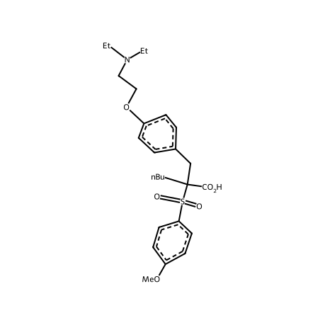 CCCCC(Cc1ccc(OCCN(CC)CC)cc1)(C(=O)O)S(=O)(=O)c1ccc(OC)cc1